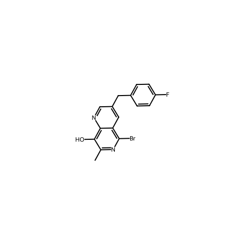 Cc1nc(Br)c2cc(Cc3ccc(F)cc3)cnc2c1O